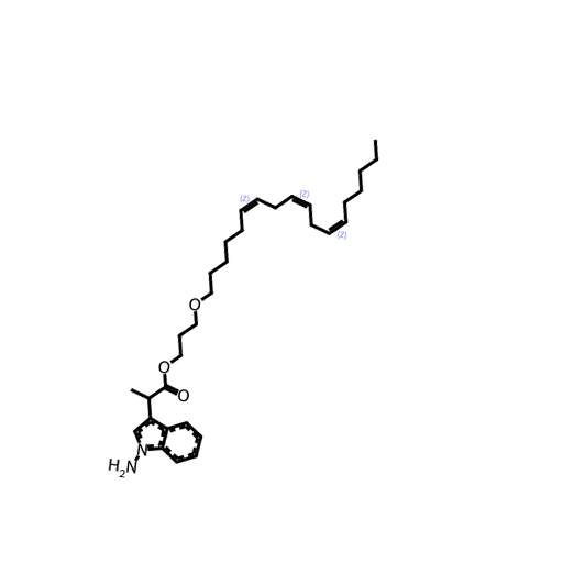 CCCCC/C=C\C/C=C\C/C=C\CCCCCOCCCOC(=O)C(C)c1cn(N)c2ccccc12